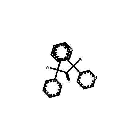 O=C(C(Br)(c1ccccc1)c1cccnc1)C(Br)(c1ccccc1)c1cccnc1